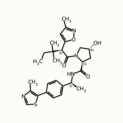 CCC(C)(C)[C@H](C(=O)N1C[C@H](O)C[C@H]1C(=O)N[C@@H](C)c1ccc(-c2scnc2C)cc1)c1cc(C)no1